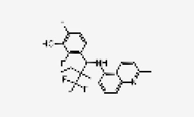 CCC(C)(C(Nc1cccc2nc(C)ccc12)c1ccc(F)c(O)c1F)C(F)(F)F